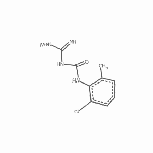 CNC(=N)NC(=O)Nc1c(C)cccc1Cl